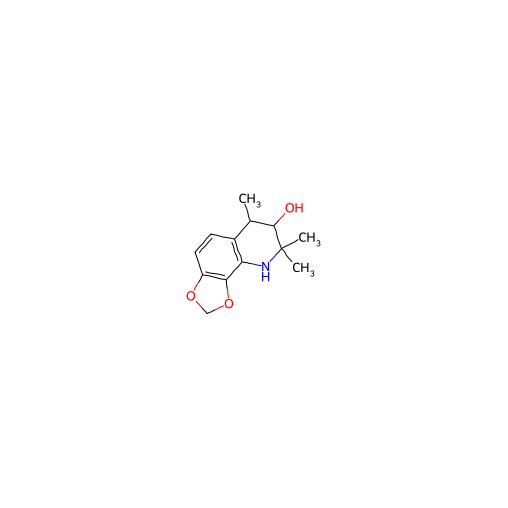 CC1c2ccc3c(c2NC(C)(C)C1O)OCO3